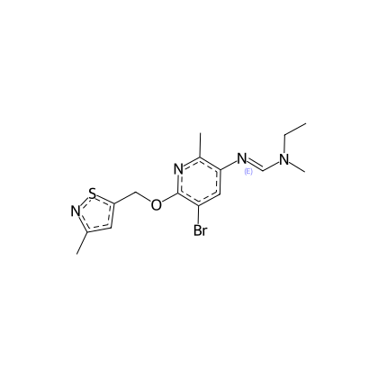 CCN(C)/C=N/c1cc(Br)c(OCc2cc(C)ns2)nc1C